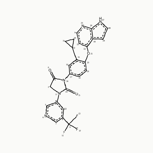 O=C1CN(c2cncc(C(F)(F)F)c2)C(=O)N1c1ccc(Oc2ccnc3[nH]ccc23)c(C2CC2)c1